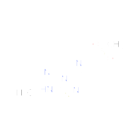 Cc1cccnc1Nc1nc(-c2ccc(S(C)(=O)=O)cn2)ns1